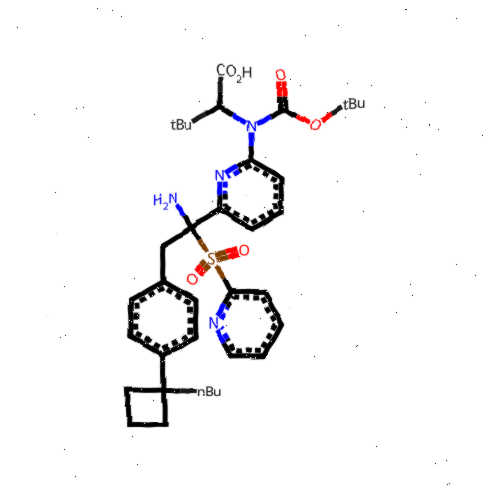 CCCCC1(c2ccc(CC(N)(c3cccc(N(C(=O)OC(C)(C)C)C(C(=O)O)C(C)(C)C)n3)S(=O)(=O)c3ccccn3)cc2)CCC1